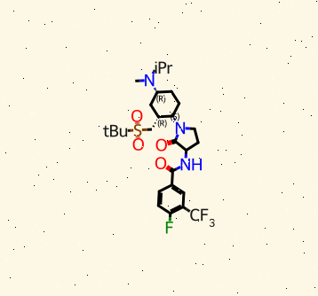 CC(C)N(C)[C@@H]1CC[C@H](N2CCC(NC(=O)c3ccc(F)c(C(F)(F)F)c3)C2=O)[C@H](CS(=O)(=O)C(C)(C)C)C1